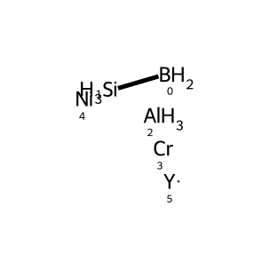 B[SiH3].[AlH3].[Cr].[Ni].[Y]